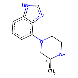 C[C@H]1CN(c2cccc3[nH]cnc23)CCN1